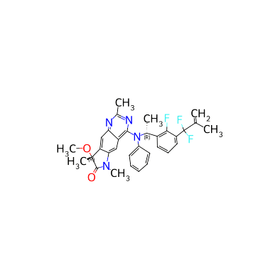 C=C(C)C(F)(F)c1cccc([C@@H](C)N(c2ccccc2)c2nc(C)nc3cc4c(cc23)N(C)C(=O)[C@]4(C)OC)c1F